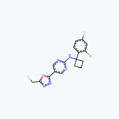 FCc1nnc(-c2cnc(NC3(c4ccc(F)cc4Cl)CCC3)nc2)o1